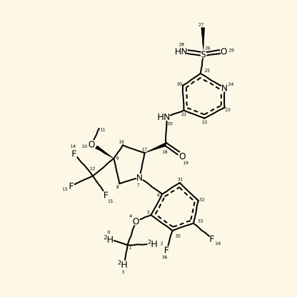 [2H]C([2H])([2H])Oc1c(N2C[C@](OC)(C(F)(F)F)C[C@H]2C(=O)Nc2ccnc([S@](C)(=N)=O)c2)ccc(F)c1F